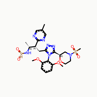 COc1cccc(OC)c1-n1c(C[C@@H](c2ncc(C)cn2)[C@@H](C)N[SH](=O)=O)nnc1[C@H]1CN(S(C)(=O)=O)CCO1